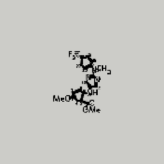 COC(=O)c1cc(OC)ccc1Nc1cnc(N(C)c2ccc(C(F)(F)F)cc2)nc1